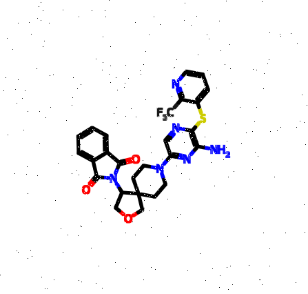 Nc1nc(N2CCC3(CC2)COCC3N2C(=O)c3ccccc3C2=O)cnc1Sc1cccnc1C(F)(F)F